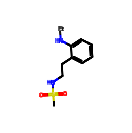 CCNc1ccccc1CCNS(C)(=O)=O